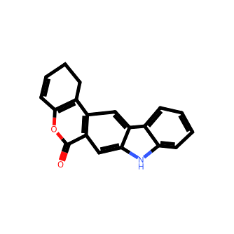 O=c1oc2c(c3cc4c(cc13)[nH]c1ccccc14)CCC=C2